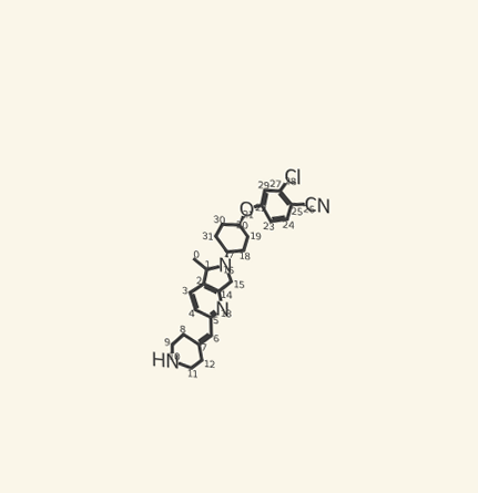 CC1c2ccc(C=C3CCNCC3)nc2CN1[C@H]1CC[C@H](Oc2ccc(C#N)c(Cl)c2)CC1